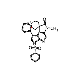 CN1C(=O)C2(CCNCC2)c2c1cnc1c2c(-c2ccccc2)cn1S(=O)(=O)c1ccccc1